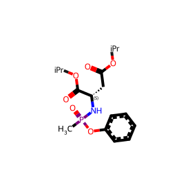 CC(C)OC(=O)C[C@H](NP(C)(=O)Oc1ccccc1)C(=O)OC(C)C